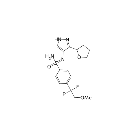 COCC(F)(F)c1ccc(S(N)(=O)=Nc2c[nH]nc2C2CCCO2)cc1